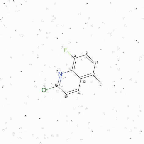 Cc1ccc(F)c2nc(Cl)ccc12